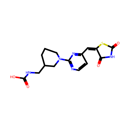 O=C(O)NCC1CCCN(c2nccc(C=C3SC(=O)NC3=O)n2)C1